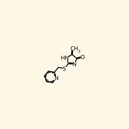 C=C1NC(SCc2ccccn2)=NC1=O